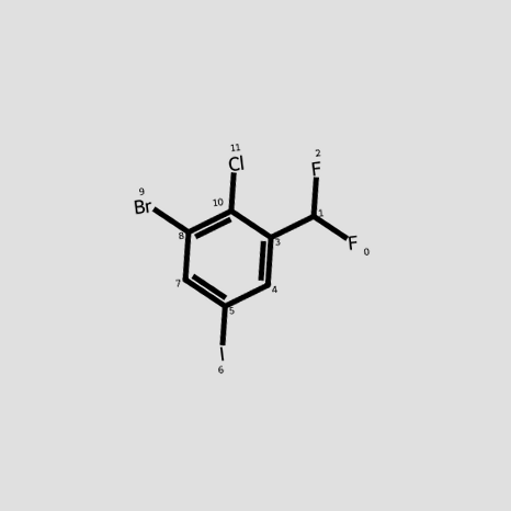 FC(F)c1cc(I)cc(Br)c1Cl